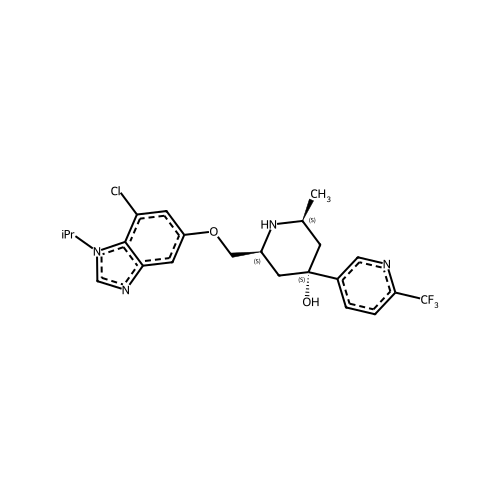 CC(C)n1cnc2cc(OC[C@@H]3C[C@](O)(c4ccc(C(F)(F)F)nc4)C[C@H](C)N3)cc(Cl)c21